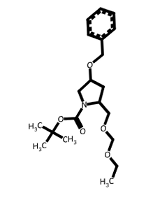 CCOCOCC1CC(OCc2ccccc2)CN1C(=O)OC(C)(C)C